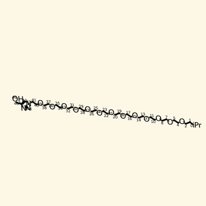 CC(C)CCOCCOCCOCCOCCOCCOCCOCCOCCOCCOCCOCCOCCOCCn1cc(CO)nn1